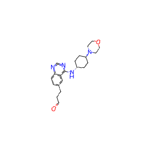 O=CCCc1ccc2ncnc(N[C@H]3CC[C@H](N4CCOCC4)CC3)c2c1